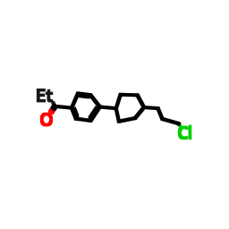 CCC(=O)c1ccc(C2CCC(CCCCl)CC2)cc1